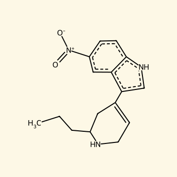 CCCC1CC(c2c[nH]c3ccc([N+](=O)[O-])cc23)=CCN1